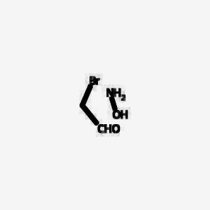 NO.O=CCBr